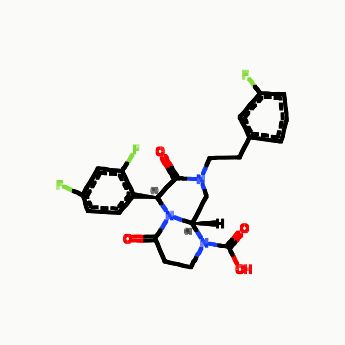 O=C1[C@H](c2ccc(F)cc2F)N2C(=O)CCN(C(=O)O)[C@H]2CN1CCc1cccc(F)c1